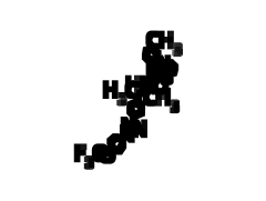 C/C(NC(=O)/N=C1\SCCCN1c1cc(C)ccc1C(C)C)=C(/C)c1ccc(-c2ncn(-c3ccc(OC(F)(F)F)cc3)n2)cc1